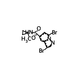 CC1(NS(=O)(=O)c2cc(Br)n3ncc(Br)c3c2)CC1